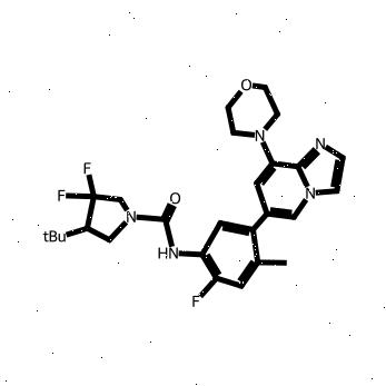 Cc1cc(F)c(NC(=O)N2CC(C(C)(C)C)C(F)(F)C2)cc1-c1cc(N2CCOCC2)c2nccn2c1